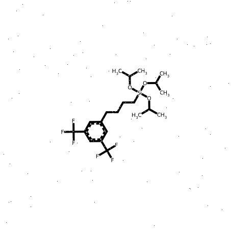 CC(C)O[Si](CCCCc1cc(C(F)(F)F)cc(C(F)(F)F)c1)(OC(C)C)OC(C)C